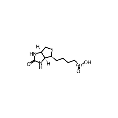 O=C1N[C@H]2[C@H](CS[C@H]2CCC[CH2][Am](=[O])[OH])N1